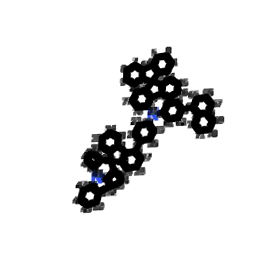 c1ccc2c(c1)-c1ccccc1C21c2ccccc2-c2c(N(c3ccc(-c4cccc5c4-c4ccccc4C54c5ccccc5-n5c6ccccc6c6cccc4c65)cc3)c3ccc(-c4cccc5ccccc45)cc3)cccc21